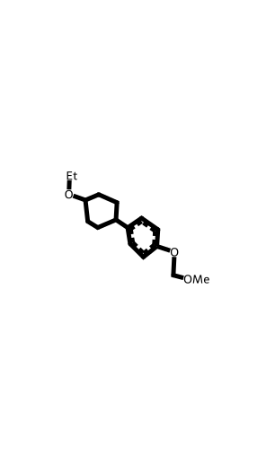 CCOC1CCC(c2ccc(OCOC)cc2)CC1